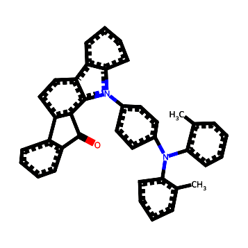 Cc1ccccc1N(c1ccc(-n2c3ccccc3c3ccc4c(c32)C(=O)c2ccccc2-4)cc1)c1ccccc1C